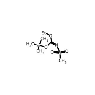 CCO/C(=N/S(C)(=O)=O)O[Si](C)(C)C